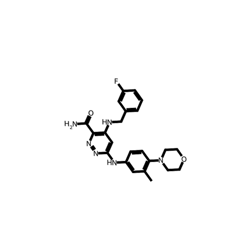 Cc1cc(Nc2cc(NCc3cccc(F)c3)c(C(N)=O)nn2)ccc1N1CCOCC1